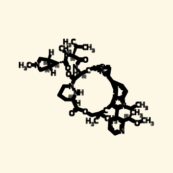 CCn1c(-c2cccnc2[C@H](C)OC)c2c3cc(ccc31)-c1csc(n1)C[C@H](NC(=O)[C@H](C(C)C)N(C)C(=O)[C@@H]1[C@@H]3CN(C)C[C@@H]31)C(=O)N1CCC[C@H](N1)C(=O)OCC(C)(C)C2